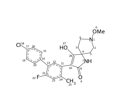 CON1CCC2(CC1)NC(=O)C(c1cc(-c3ccc(Cl)cc3)c(F)cc1C)=C2O